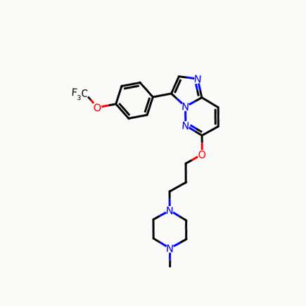 CN1CCN(CCCOc2ccc3ncc(-c4ccc(OC(F)(F)F)cc4)n3n2)CC1